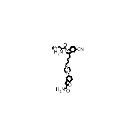 CC(C)CC(N)C(=O)n1cc(CCCCN2CCN(c3ccc4oc(C(N)=O)cc4c3)CC2)c2cc(C#N)ccc21